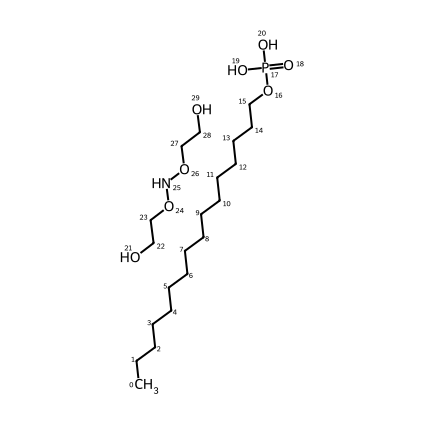 CCCCCCCCCCCCCCCCOP(=O)(O)O.OCCONOCCO